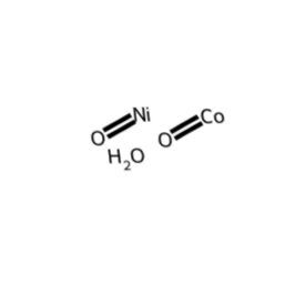 O.[O]=[Co].[O]=[Ni]